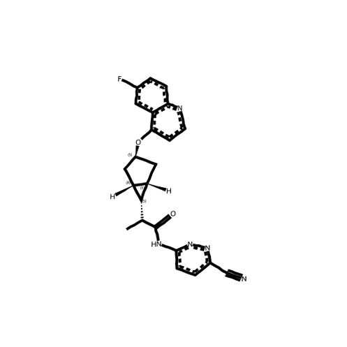 CC(C(=O)Nc1ccc(C#N)nn1)[C@@H]1[C@@H]2C[C@@H](Oc3ccnc4ccc(F)cc34)C[C@@H]21